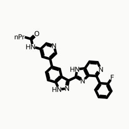 CCCC(=O)Nc1cncc(-c2ccc3[nH]nc(-c4nc5c(-c6ccccc6F)nccc5[nH]4)c3c2)c1